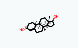 C[C@]12CC[C@H](O)C=C1CC[C@@H]1[C@@H]2CC[C@]2(C)C(O)CC[C@@H]12